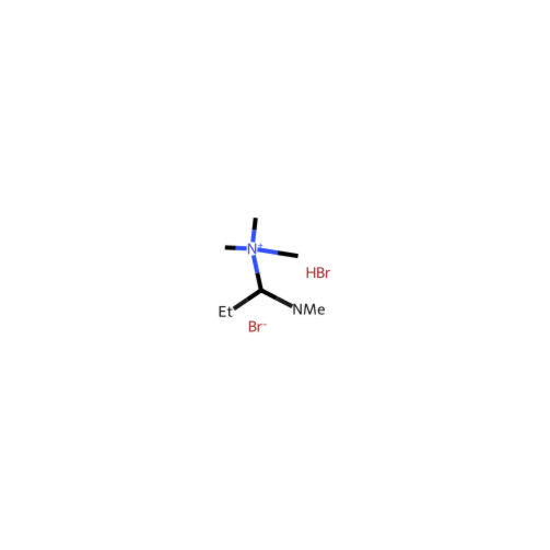 Br.CCC(NC)[N+](C)(C)C.[Br-]